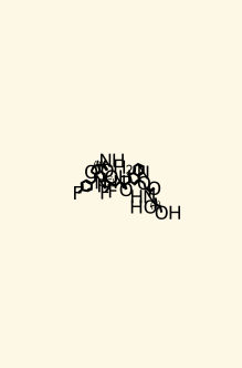 C[C@]1(C(N)=O)COc2c1cc([C@@](O)(CNC(=O)c1cc(OCC(=O)NC[C@H](O)CO)c3ncccc3c1)C(F)(F)F)nc2-c1ccc(F)cc1